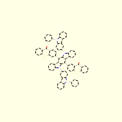 O=C1c2ccccc2S(=O)(=O)c2ccc(-c3c4c5ccccc5n(-c5ccc6c(c5)c5ccccc5n6-c5ccccc5)c4c(-c4ccc5c(c4)S(=O)(=O)c4ccccc4C5=O)c4c5ccccc5n(-c5ccc6c(c5)c5ccccc5n6-c5ccccc5)c34)cc21